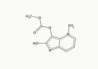 COC(=O)Oc1c(O)nc2cccn(C)c1-2